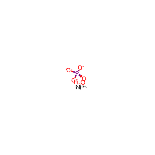 O.O=P([O-])([O-])[O-].[Ni+3]